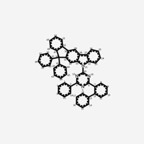 c1ccc(-c2nc(-c3ccccc3-c3ccccc3)nc(-n3c4ccccc4c4cc5c(cc43)C(c3ccccc3)(c3ccccc3)c3ccccc3-5)n2)cc1